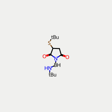 CC(C)(C)NBN1C(=O)CC(SC(C)(C)C)C1=O